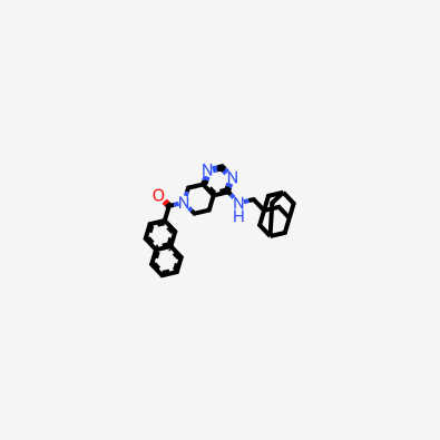 O=C(c1ccc2ccccc2c1)N1CCc2c(ncnc2NCC23CC4CC(CC(C4)C2)C3)C1